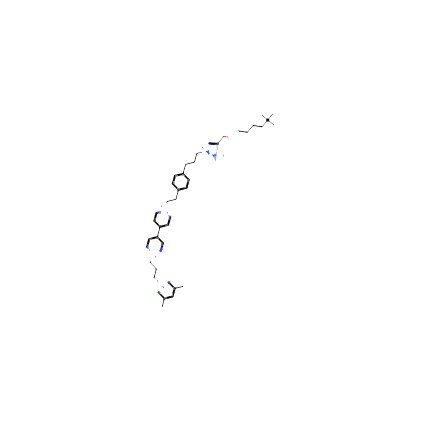 Cc1cc(C)c[n+](CCC[n+]2ccc(-c3cc[n+](CCc4ccc(CCCn5cc(COCCCCC(C)(C)C)nn5)cc4)cc3)cc2)c1